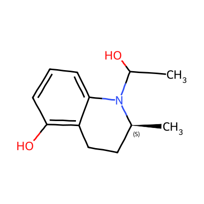 CC(O)N1c2cccc(O)c2CC[C@@H]1C